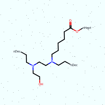 CCCCCCCCCCCCN(CCO)CCN(CCCCCCCCCCCC)CCCCCC(=O)OCCCCCCC